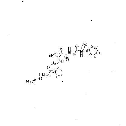 CCCC(NC(=O)[C@@H]1CCCN1C(=O)CNOCOC)C(=O)C(=O)NCC(=O)NC(C(C)=O)c1ccccc1